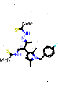 CNC(=S)N/C=C(/C(C)=N/NC(=S)NC)c1cc(C)n(Cc2ccc(F)cc2)c1C